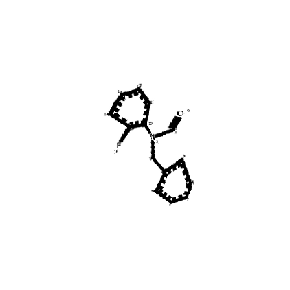 O=[C]N(Cc1ccccc1)c1ccccc1F